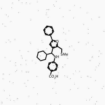 CSCc1oc(-c2ccccc2)cc1C(Nc1ccc(C(=O)O)cc1)C1CCCCC1